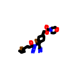 N#Cc1c(NC(=O)C=Cc2cccs2)sc2c1CCC(COC(=O)N1CCOCC1)C2